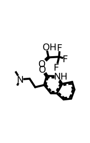 CN(C)CCc1cc2ccccc2[nH]c1=O.O=C(O)C(F)(F)F